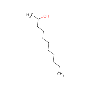 [CH2]C(O)CCCCCCCCC